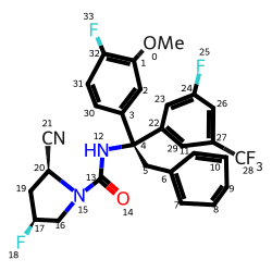 COc1cc([C@@](Cc2ccccc2)(NC(=O)N2C[C@@H](F)C[C@H]2C#N)c2cc(F)cc(C(F)(F)F)c2)ccc1F